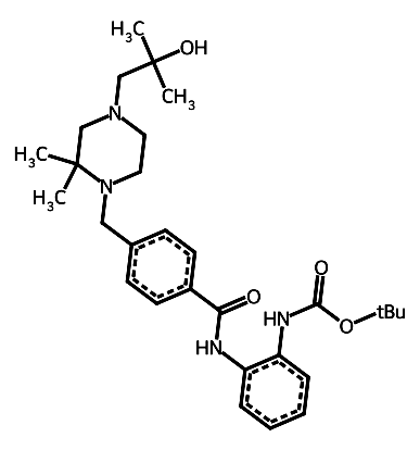 CC(C)(O)CN1CCN(Cc2ccc(C(=O)Nc3ccccc3NC(=O)OC(C)(C)C)cc2)C(C)(C)C1